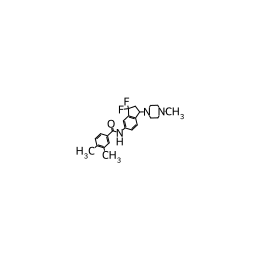 Cc1ccc(C(=O)Nc2ccc3c(c2)C(F)(F)CC3N2CCN(C)CC2)cc1C